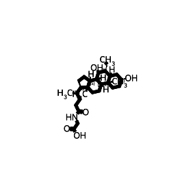 CC[C@H]1[C@@H](O)[C@@H]2[C@H](CC[C@]3(C)[C@@H]([C@H](C)CCC(=O)NCC(=O)O)CC[C@@H]23)[C@@]2(C)CC[C@@H](O)C[C@@H]12